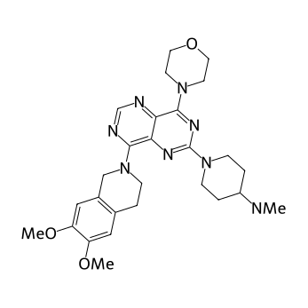 CNC1CCN(c2nc(N3CCOCC3)c3ncnc(N4CCc5cc(OC)c(OC)cc5C4)c3n2)CC1